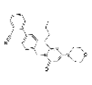 CCCCc1nc(N2CCOCC2)cc(=O)n1Cc1ccc(-c2ccccc2C#N)cc1